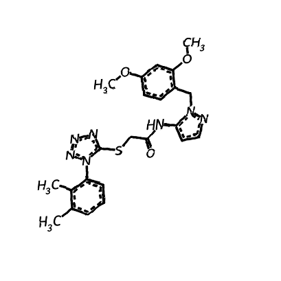 COc1ccc(Cn2nccc2NC(=O)CSc2nnnn2-c2cccc(C)c2C)c(OC)c1